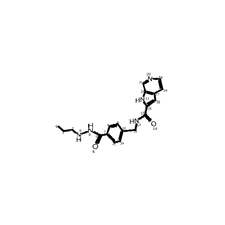 CCCNNC(=O)c1ccc(CNC(=O)c2cc3ccncc3[nH]2)cc1